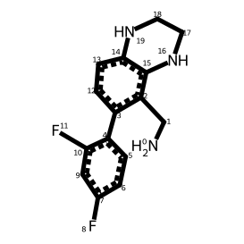 NCc1c(-c2ccc(F)cc2F)ccc2c1NCCN2